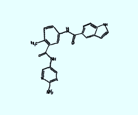 Cc1ccc(NC(=O)c2ccc3[nH]ccc3c2)cc1C(=O)Nc1cnc(N)nc1